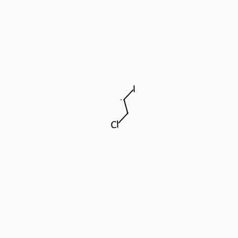 ClC[CH]I